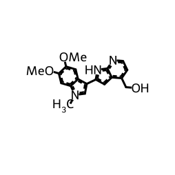 COc1cc2c(-c3cc4c(CO)ccnc4[nH]3)cn(C)c2cc1OC